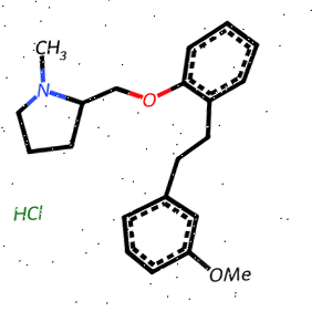 COc1cccc(CCc2ccccc2OCC2CCCN2C)c1.Cl